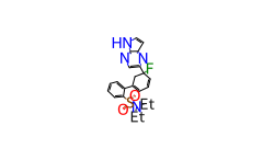 CCN(CC)S(=O)(=O)c1ccccc1C1=CC=CC(F)(c2cnc3[nH]ccc3n2)C1